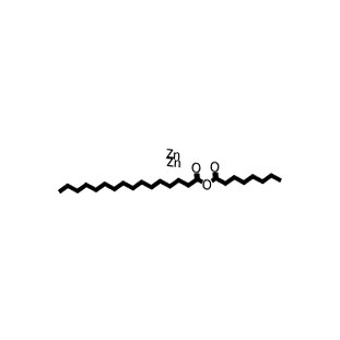 CCCCCCCCCCCCCCCC(=O)OC(=O)CCCCCCC.[Zn].[Zn]